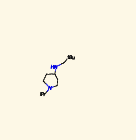 CC(C)N1CCC(NCC(C)(C)C)CC1